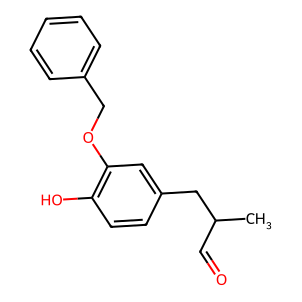 CC(C=O)Cc1ccc(O)c(OCc2ccccc2)c1